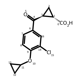 O=C(O)[C@H]1C[C@@H]1C(=O)c1ccc(OC2CC2)c(Cl)c1